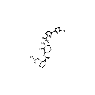 CCNC[C@@H]1CCCN1C(=O)CN1CCC[C@H](NS(=O)(=O)c2ccc(-c3ccc(Cl)s3)s2)C1=O